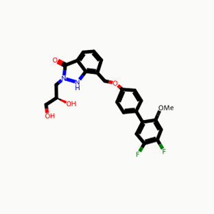 COc1cc(F)c(F)cc1-c1ccc(OCc2cccc3c(=O)n(C[C@@H](O)CO)[nH]c23)cc1